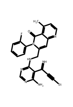 CCC#CC(=N)c1c(N)ncnc1NCc1cc2nccc(C)c2c(=O)n1-c1ccccc1F